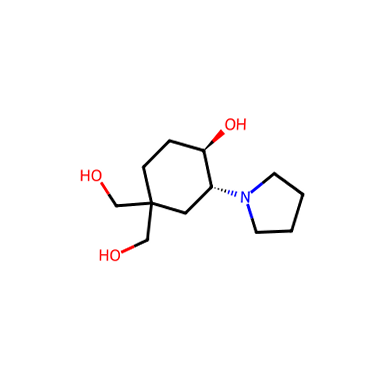 OCC1(CO)CC[C@@H](O)[C@H](N2CCCC2)C1